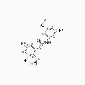 COc1cc(F)cc(NC(=O)Nc2cc(F)cc(F)c2CO)c1